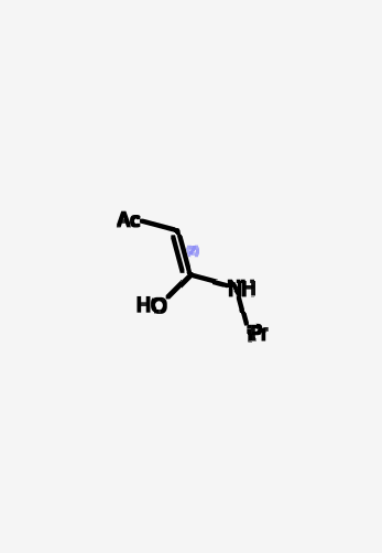 CC(=O)/C=C(\O)NC(C)C